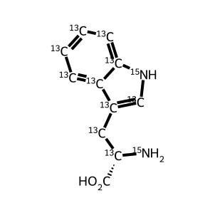 [15NH2][13C@@H]([13CH2][13c]1[13cH][15nH][13c]2[13cH][13cH][13cH][13cH][13c]12)[13C](=O)O